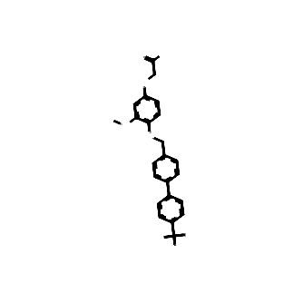 COc1cc(OCC(=O)O)ccc1SCc1ccc(-c2ccc(C(F)(F)F)cc2)cc1